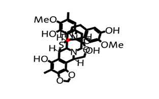 COc1cc2c(cc1O)CCN[C@]21CS[C@@H]2c3c(O)c(C)c4c(c3[C@H](COC1=O)N1C2[C@H]2c3c(cc(C)c(OC)c3O)C[C@@H]([C@@H]1O)N2C)OCO4